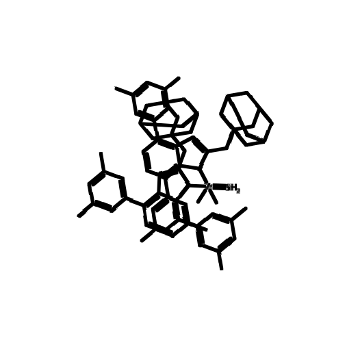 Cc1cc(C)cc(-c2ccc(-c3cc(C)cc(C)c3)c3c2C=C(CC24CC5CC(CC(C5)C2)C4)[CH]3[Zr]([CH3])([CH3])(=[SiH2])[CH]2C(CC34CC5CC(CC(C5)C3)C4)=Cc3c(-c4cc(C)cc(C)c4)ccc(-c4cc(C)cc(C)c4)c32)c1